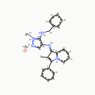 CC(=O)[O-].CC1=C(c2ccccc2)[n+]2ccccc2/C1=N/c1cnn(C(C)C)c1NCc1ccccc1